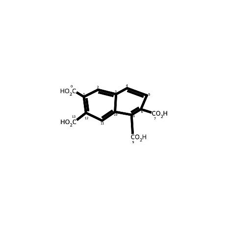 O=C(O)c1cc2ccc(C(=O)O)c(C(=O)O)c2cc1C(=O)O